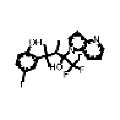 CC(C(C)(C)c1cc(F)ccc1O)C(O)(n1ccc2ncccc21)C(F)(F)F